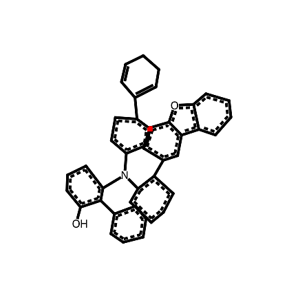 Oc1cccc(N(c2ccc(C3=CCCC=C3)cc2)c2ccccc2-c2ccc3oc4ccccc4c3c2)c1-c1ccccc1